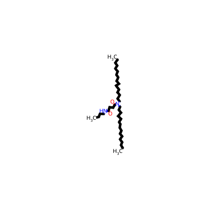 CCCCCCCCCCCCCCCCN(CCCCCCCCCCCCCCCC)C(=O)CCC(=O)NCCCC